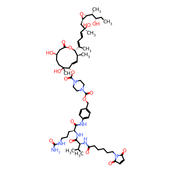 CC[C@H](O)[C@@H](C)[C@H]1O[C@@H]1C[C@@](C)(O)/C=C/C=C(\C)[C@H]1OC(=O)C[C@H](O)CC[C@@](C)(O)[C@@H](OC(=O)N2CCN(C(=O)OCc3ccc(NC(=O)[C@H](CCCNC(N)=O)NC(=O)[C@@H](NC(=O)CCCCCN4C(=O)C=CC4=O)C(C)C)cc3)CC2)/C=C/[C@@H]1C